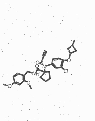 C#CC(=O)N(c1ccc(OC2CC(C)C2)c(Cl)c1)C1(C(=O)NCc2ccc(OC)cc2OC)CCCC1